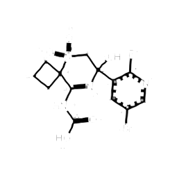 CC1(c2cc(Br)cnc2F)CS(=O)(=O)C2(CCC2)C(NC(=O)O)=N1